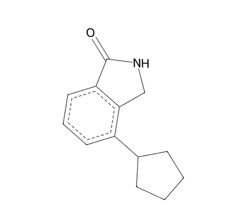 O=C1NCc2c1cccc2C1CCCC1